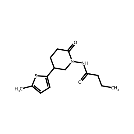 CCCC(=O)NN1CC(c2ccc(C)s2)CCC1=O